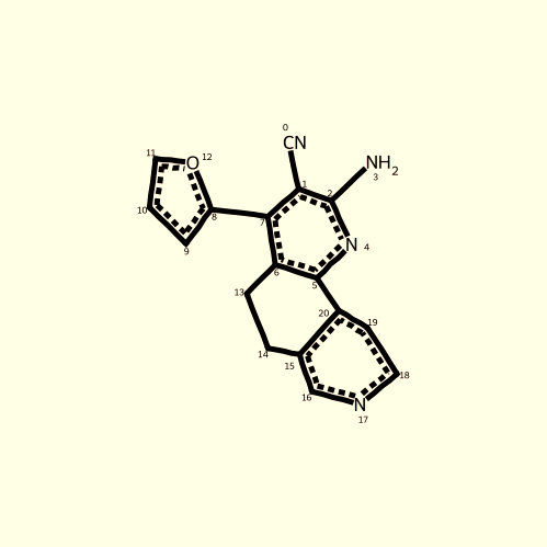 N#Cc1c(N)nc2c(c1-c1ccco1)CCc1cnccc1-2